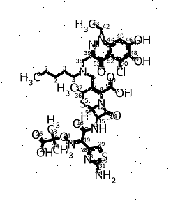 CCCCCN(CC1=C(C(=O)O)N2C(=O)[C@@H](NC(=O)/C(=N\OC(C)(C)C(=O)O)c3csc(N)n3)[C@H]2S[C@H]1C)Cc1nn(CC)c2cc(O)c(O)c(Cl)c2c1=O